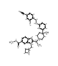 COC(=O)c1ccc2nc([C@H](C)N3CCC(O)(c4cccc(OCc5ccc(C#N)cc5F)n4)CC3)n(C[C@@H]3CCO3)c2c1